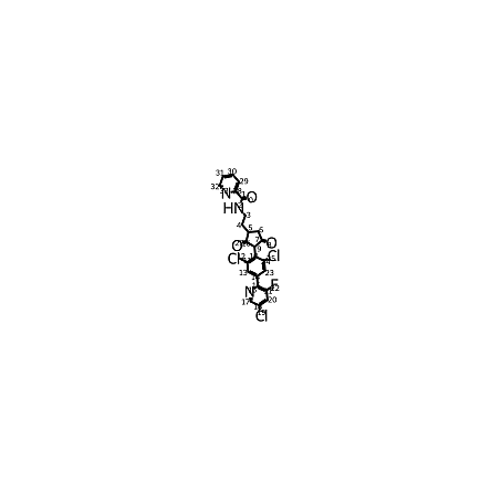 O=C(NCCC1CC(=O)C(c2c(Cl)cc(-c3ncc(Cl)cc3F)cc2Cl)C1=O)c1ccccn1